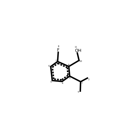 CC(C)c1cccc(F)c1CO